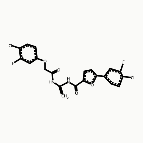 C=C(NC(=O)COc1ccc(Cl)c(F)c1)NC(=O)c1ccc(-c2ccc(Cl)c(F)c2)o1